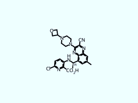 Cc1cc([C@@H](C)Nc2ccc(Cl)nc2C(=O)O)c2nc(N3CCN(C4COC4)CC3)c(C#N)nc2c1